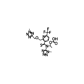 CC(OC(=O)O)N(C(=S)c1ccc(C(F)(F)F)nc1COCc1nnn(C)n1)c1nnnn1C